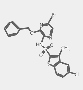 Cc1c(S(=O)(=O)Nc2ncc(Br)nc2OCc2ccccc2)sc2ccc(Cl)cc12